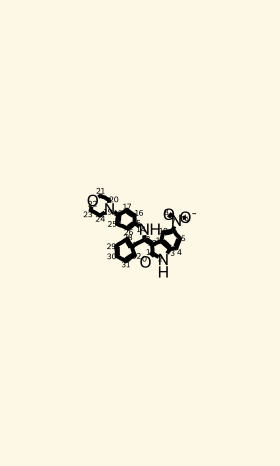 O=C1Nc2ccc([N+](=O)[O-])cc2C1=C(Nc1ccc(N2CCOCC2)cc1)c1ccccc1